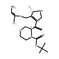 C=C(C1=C(CC/C(Cl)=C\N)[C@H](C)NC1)[C@@H]1COCCN1C(=O)OC(C)(C)C